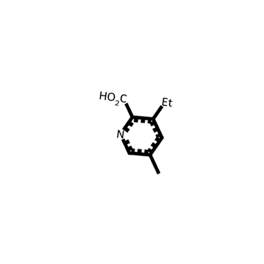 CCc1cc(C)cnc1C(=O)O